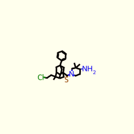 CC1(CCCl)C2CC3(C(=S)N4CC[C@H](N)C(C)(C)C4)CC1CC(c1ccccc1)(C2)C3